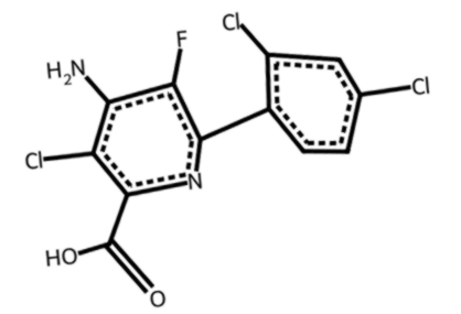 Nc1c(F)c(-c2ccc(Cl)cc2Cl)nc(C(=O)O)c1Cl